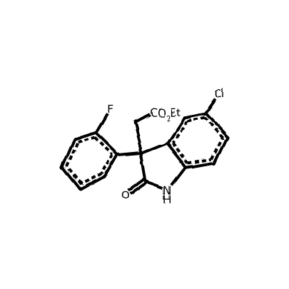 CCOC(=O)CC1(c2ccccc2F)C(=O)Nc2ccc(Cl)cc21